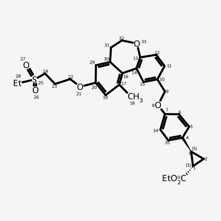 CCOC(=O)[C@H]1C[C@@H]1c1ccc(OCc2ccc3c(c2)-c2c(C)cc(OCCCS(=O)(=O)CC)cc2CCO3)cc1